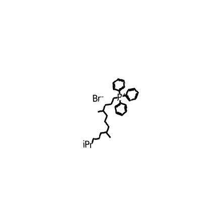 CC(C)CCCC(C)CCCC(C)CCC[P+](c1ccccc1)(c1ccccc1)c1ccccc1.[Br-]